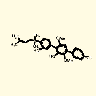 COc1cc(-c2ccc(O)cc2)c(OC)c(O)c1-c1ccc(S(C)(C)CC=C(C)C)c(O)c1